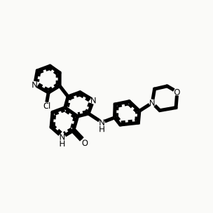 O=c1[nH]ccc2c(-c3cccnc3Cl)cnc(Nc3ccc(N4CCOCC4)cc3)c12